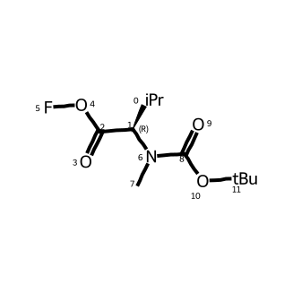 CC(C)[C@H](C(=O)OF)N(C)C(=O)OC(C)(C)C